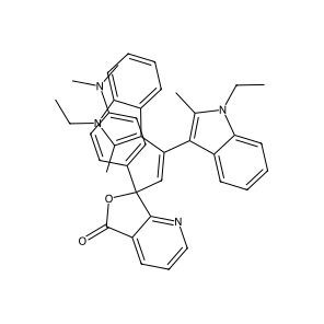 CCn1c(C)c(C(=CC2(c3ccc(N(C)C)cc3)OC(=O)c3cccnc32)c2c(C)n(CC)c3ccccc23)c2ccccc21